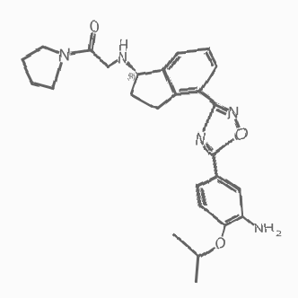 CC(C)Oc1ccc(-c2nc(-c3cccc4c3CC[C@H]4NCC(=O)N3CCCC3)no2)cc1N